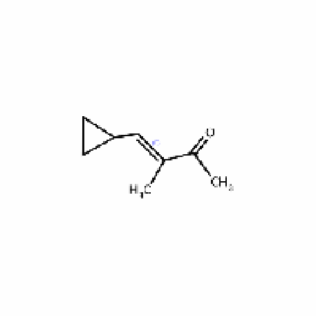 CC(=O)/C(C)=C/C1CC1